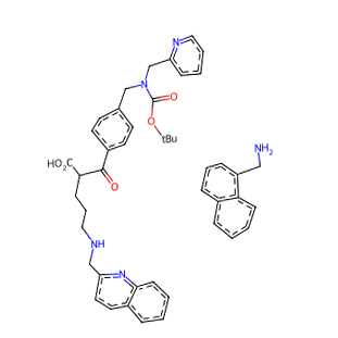 CC(C)(C)OC(=O)N(Cc1ccc(C(=O)C(CCCNCc2ccc3ccccc3n2)C(=O)O)cc1)Cc1ccccn1.NCc1cccc2ccccc12